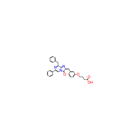 O=C(O)CCCOc1cccc(C=C2N=C3C(Cc4ccccc4)=NC(c4ccccc4)=CN3C2=O)c1